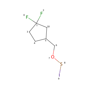 FC1(F)CCC(COSI)C1